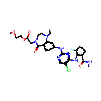 CCN1CCN(CC(=O)OCCOC)C(=O)c2ccc(Nc3ncc(Cl)c(Nc4c(F)cccc4C(=O)NC)n3)cc21